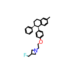 Cc1ccc2c(c1)CC[C@H](c1ccccc1)[C@@H]2c1ccc(OCCN2CC(CF)C2)cc1